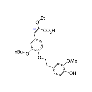 CCCCOc1cc(/C=C(/OCC)C(=O)O)ccc1OCCc1ccc(O)c(OC)c1